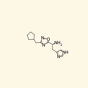 N[C@@H](Cc1c[nH]cn1)c1nc(CC2CCCC2)no1